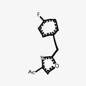 CC(=O)c1coc(Cc2ccc(F)cc2)n1